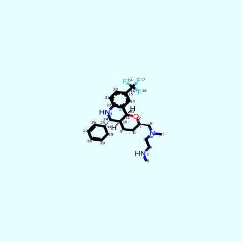 CNCCN(C)C[C@H]1CC[C@@H]2[C@H](O1)c1cc(C(F)(F)F)ccc1N[C@H]2C1C=CC=CC1